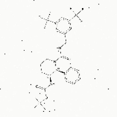 CC(C)(C)OC(=O)N[C@H]1CCCN(C(=O)NCc2cc(C(F)(F)F)cc(C(F)(F)F)c2)[C@H]1c1ccccc1